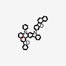 c1ccc(N(c2ccccc2)c2cc3c(cc2-c2cccc4c2oc2ccccc24)c2ccccc2n3-c2ccc3c(c2)oc2c4ccccc4ccc32)cc1